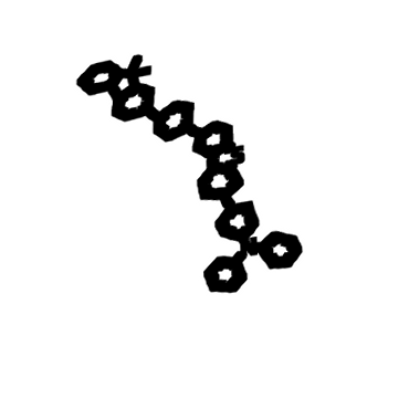 CC1(C)c2ccccc2-c2ccc(-c3ccc(-c4ccc5sc6cc(-c7ccc(N(c8ccccc8)c8ccccc8)cc7)ccc6c5c4)cc3)cc21